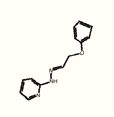 C(/COc1ccccc1)=N\Nc1ccccn1